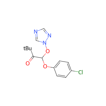 CC(C)(C)C(=O)C(Oc1ccc(Cl)cc1)On1cncn1